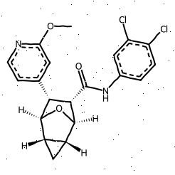 COc1cc([C@H]2[C@H]3O[C@H]([C@@H]4C[C@@H]43)[C@H]2C(=O)Nc2ccc(Cl)c(Cl)c2)ccn1